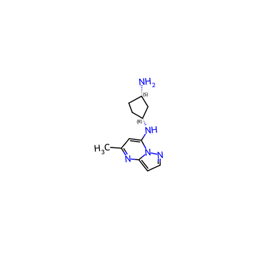 Cc1cc(N[C@@H]2CC[C@H](N)C2)n2nccc2n1